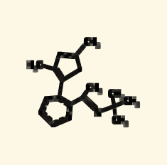 CC1=CC(C)=C(c2ccccc2/C(C)=N/C(C)(C)C)C1